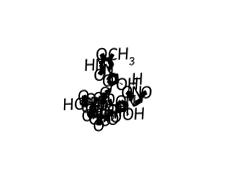 Cc1cn([C@H]2C[C@H](O)[C@@H](COP(=O)(OC[C@H]3O[C@@H](n4ccc(=O)[nH]c4=O)[C@H](O)[C@@H]3O)OP(=O)(OP(=O)(O)O)OP(=O)(O)OP(=O)(O)OP(=O)(O)O)O2)c(=O)[nH]c1=O